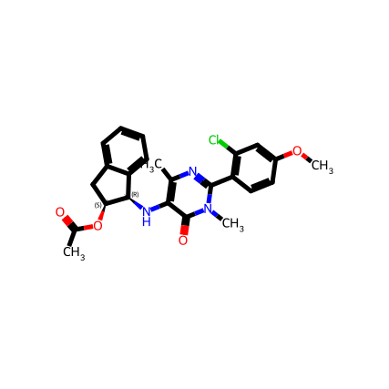 COc1ccc(-c2nc(C)c(N[C@@H]3c4ccccc4C[C@@H]3OC(C)=O)c(=O)n2C)c(Cl)c1